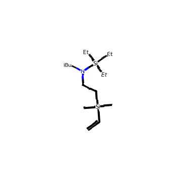 C=C[Si](C)(C)CCN(C(C)CC)[Si](CC)(CC)CC